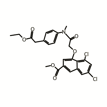 CCOC(=O)Cc1ccc(N(C)C(=O)COc2cc(C(=O)OC)cc3cc(Cl)cc(Cl)c23)cc1